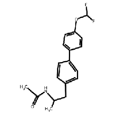 CC(=O)NC(C)Cc1ccc(-c2ccc(OC(F)F)cc2)cc1